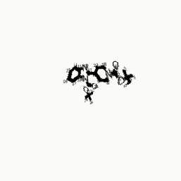 CC(C)(C)OC(=O)N1CC=C(c2nc3ccccc3n2C(=O)OC(C)(C)C)CC1